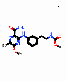 CCc1nc(C(N)=O)c(Nc2cccc(CCNC(=O)OC(C)(C)C)c2)nc1OC(C)C